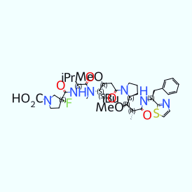 CC[C@H](C)[C@@H]([C@@H](CC(=O)N1CCC[C@H]1[C@H](OC)[C@@H](C)C(=O)N[C@@H](Cc1ccccc1)c1nccs1)OC)N(C)C(=O)[C@@H](NC(=O)[C@]1(F)CCN(C(=O)O)C1)C(C)C